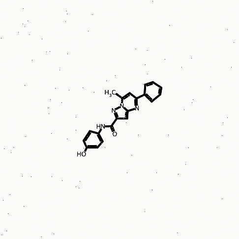 Cc1cc(-c2ccccc2)nc2cc(C(=O)Nc3ccc(O)cc3)nn12